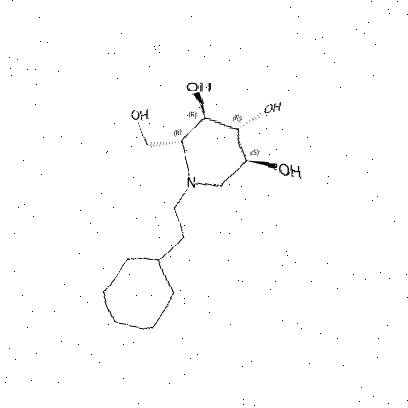 OC[C@@H]1[C@@H](O)[C@H](O)[C@@H](O)CN1CCC1CCCCC1